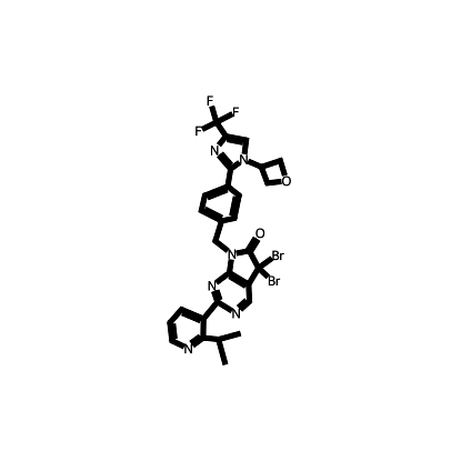 CC(C)c1ncccc1-c1ncc2c(n1)N(Cc1ccc(-c3nc(C(F)(F)F)cn3C3COC3)cc1)C(=O)C2(Br)Br